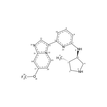 C[C@H]1CNC[C@@H]1Nc1cccc(-c2cnc3cc(OC(F)(F)F)ccn23)n1